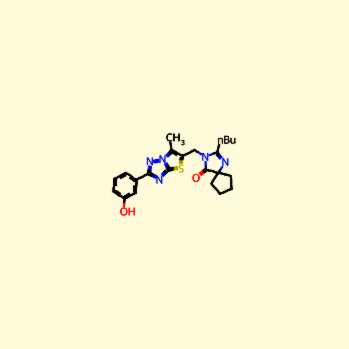 CCCCC1=NC2(CCCC2)C(=O)N1Cc1sc2nc(-c3cccc(O)c3)nn2c1C